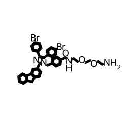 NCCOCCOCCNC(=O)c1ccc(Cn2c(-c3ccc4c(c3)-c3ccccc3C4)nc(-c3ccc(Br)cc3)c2-c2ccc(Br)cc2)cc1